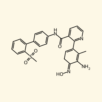 CC1=C(N)C(=NO)CC=C1c1ncccc1C(=O)Nc1ccc(-c2ccccc2S(C)(=O)=O)cc1